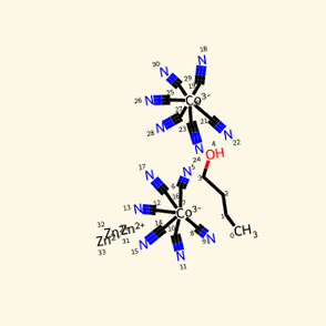 CCCCO.N#[C][Co-3]([C]#N)([C]#N)([C]#N)([C]#N)[C]#N.N#[C][Co-3]([C]#N)([C]#N)([C]#N)([C]#N)[C]#N.[Zn+2].[Zn+2].[Zn+2]